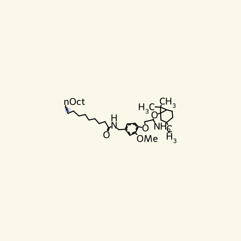 CCCCCCCC/C=C\CCCCCCCC(=O)NCc1ccc(OCC(N)OC23CC(C)CCC2C3(C)C)c(OC)c1